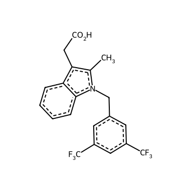 Cc1c(CC(=O)O)c2ccccc2n1Cc1cc(C(F)(F)F)cc(C(F)(F)F)c1